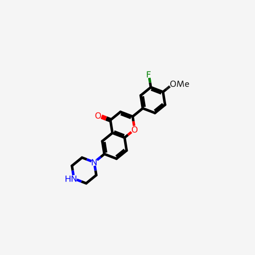 COc1ccc(-c2cc(=O)c3cc(N4CCNCC4)ccc3o2)cc1F